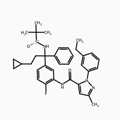 CCc1cccc(-n2nc(C)cc2C(=O)Nc2cc(C(CCC3CC3)(N[S@+]([O-])C(C)(C)C)c3ccccc3)ccc2F)c1